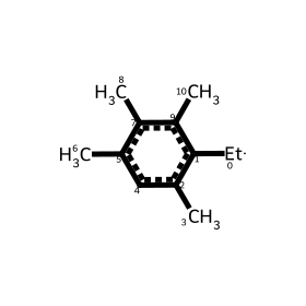 C[CH]c1c(C)cc(C)c(C)c1C